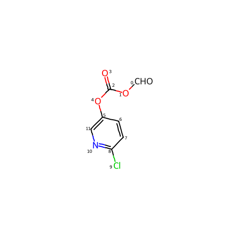 O=COC(=O)Oc1ccc(Cl)nc1